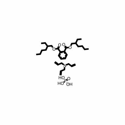 C=CCN(CC=C)CC=C.CCCCC(CC)COC(=O)c1ccccc1C(=O)OCC(CC)CCCC.O=P(O)(O)O